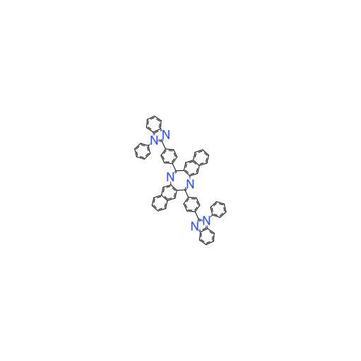 c1ccc(-n2c(-c3ccc(/C4=N/c5cc6ccccc6cc5/C(c5ccc(-c6nc7ccccc7n6-c6ccccc6)cc5)=N\c5cc6ccccc6cc54)cc3)nc3ccccc32)cc1